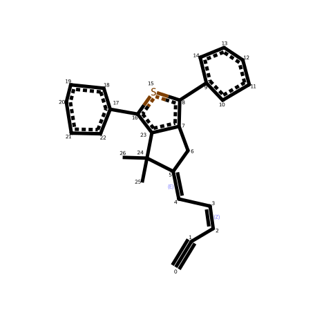 C#C/C=C\C=C1/Cc2c(-c3ccccc3)sc(-c3ccccc3)c2C1(C)C